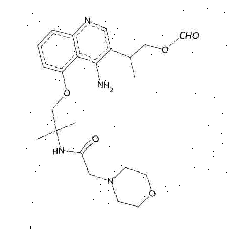 CC(COC=O)c1cnc2cccc(OCC(C)(C)NC(=O)CN3CCOCC3)c2c1N